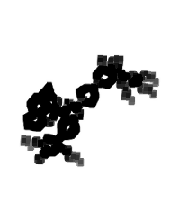 COc1cc(=O)n(C)cc1-c1ccc2nc(N3CCC(N4CCC(C)(NC(=O)OC(C)(C)C)CC4)CC3)nc(C(CO)(OC3CC3)c3cccc4ccccc34)c2c1